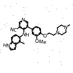 COc1cc(-c2cncc(C#N)c2Nc2ccc3[nH]ccc3c2C)ccc1OCCN1CCN(C)CC1